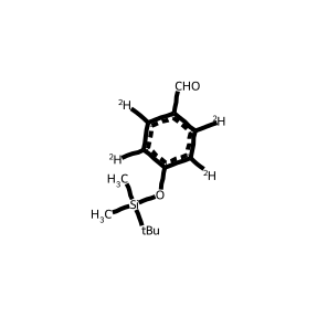 [2H]c1c([2H])c(O[Si](C)(C)C(C)(C)C)c([2H])c([2H])c1C=O